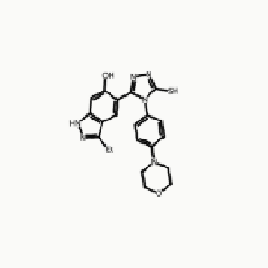 CCc1n[nH]c2cc(O)c(-c3nnc(S)n3-c3ccc(N4CCOCC4)cc3)cc12